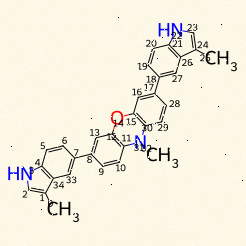 Cc1c[nH]c2ccc(-c3ccc4c(c3)Oc3cc(-c5ccc6[nH]cc(C)c6c5)ccc3N4C)cc12